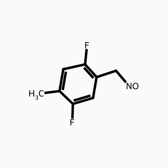 Cc1cc(F)c(CN=O)cc1F